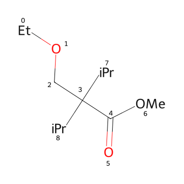 CCOCC(C(=O)OC)(C(C)C)C(C)C